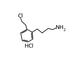 Cl.NCCCCc1ccccc1CCCl